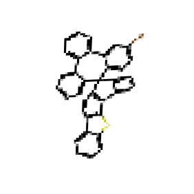 Brc1ccc2c(c1)-c1ccccc1-c1ccccc1C21c2ccccc2-c2c1ccc1c2sc2ccccc21